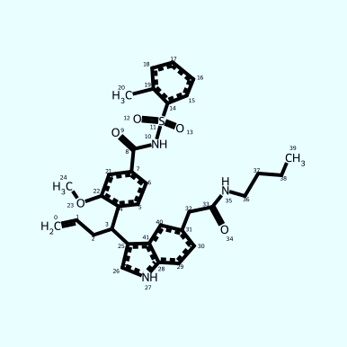 C=CCC(c1ccc(C(=O)NS(=O)(=O)c2ccccc2C)cc1OC)c1c[nH]c2ccc(CC(=O)NCCCC)cc12